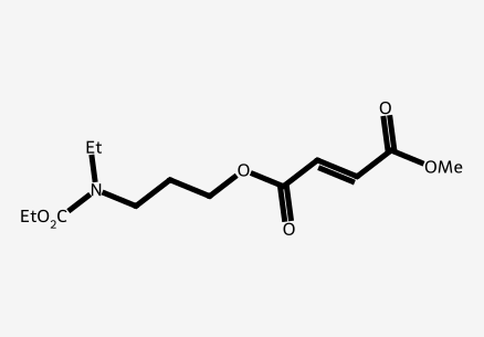 CCOC(=O)N(CC)CCCOC(=O)/C=C/C(=O)OC